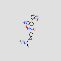 CN(C)CCNc1ccc(C(=O)Nc2ccc(-c3cccc4ncoc34)c3c2C(=O)NC3)cc1